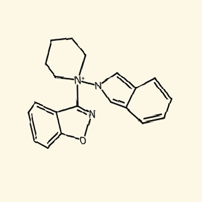 c1ccc2cn([N+]3(c4noc5ccccc45)CCCCC3)cc2c1